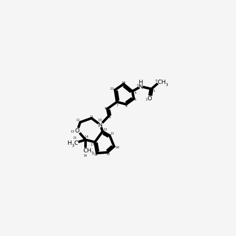 CC(=O)Nc1ccc(C=CN2CCOC(C)(C)c3ccccc32)cc1